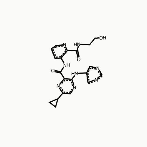 O=C(NCCO)c1ncccc1NC(=O)c1nc(C2CC2)cnc1Nc1cncnc1